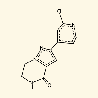 O=C1NCCn2nc(-c3ccnc(Cl)c3)cc21